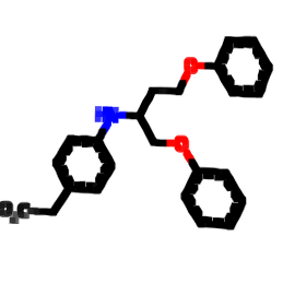 O=C(O)Cc1ccc(NC(CCOc2ccccc2)COc2ccccc2)cc1